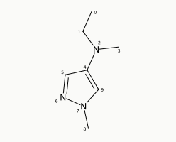 CCN(C)c1cnn(C)c1